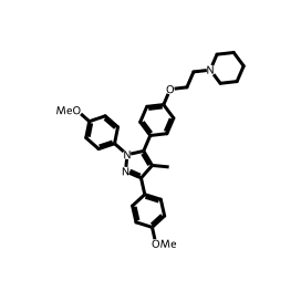 COc1ccc(-c2nn(-c3ccc(OC)cc3)c(-c3ccc(OCCN4CCCCC4)cc3)c2C)cc1